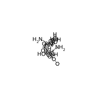 C[C@H](NC(=O)[C@H](CCCCN)NC(=O)[C@H](C)NC(=O)[C@@H](NC(=O)[C@H](CCCCN)N[S+]([O-])c1ccc(-c2ccccc2)cc1)[C@@H](C)O)B1O[C@@H]2C[C@@H]3C[C@@H](C3(C)C)[C@]2(C)O1